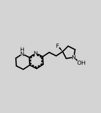 ON1CC[C@@](F)(CCc2ccc3c(n2)NCCC3)C1